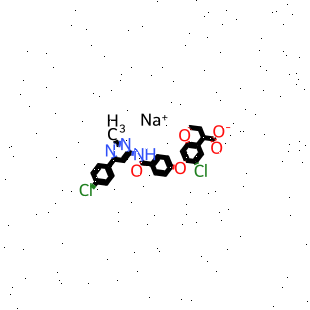 Cc1nc(NC(=O)c2ccc(Oc3cc4c(cc3Cl)C(C(=O)[O-])CCO4)cc2)cc(-c2ccc(Cl)cc2)n1.[Na+]